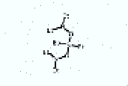 CCN(CC)O[Si](CC)(CC)ON(CC)CC